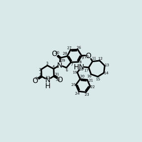 O=C1CCC(N2Cc3cc(OC4CCCCCC4NCc4ccccc4)ccc3C2=O)C(=O)N1